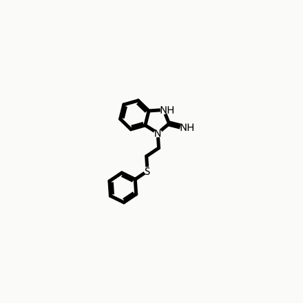 N=c1[nH]c2ccccc2n1CCSc1ccccc1